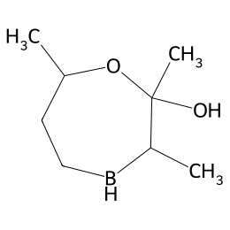 CC1CCBC(C)C(C)(O)O1